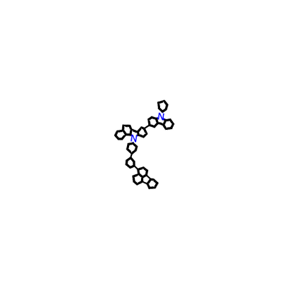 c1ccc(-n2c3ccccc3c3cc(-c4ccc5c(c4)c4ccc6ccccc6c4n5-c4ccc(-c5cccc(-c6ccc7c8c(cccc68)-c6ccccc6-7)c5)cc4)ccc32)cc1